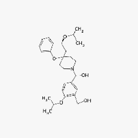 CC(C)Oc1ccc(C(O)N2CCC3(CC2)C[C@H](OC(C)C)c2ccccc2O3)cc1CO